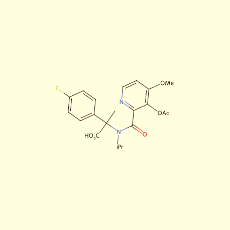 COc1ccnc(C(=O)N(C(C)C)C(C)(C(=O)O)c2ccc(F)cc2)c1OC(C)=O